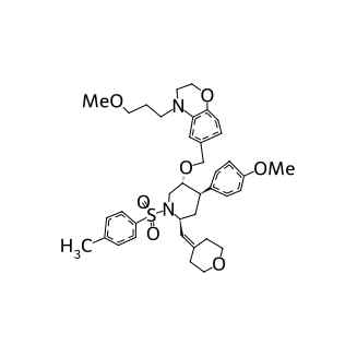 COCCCN1CCOc2ccc(CO[C@H]3CN(S(=O)(=O)c4ccc(C)cc4)[C@H](C=C4CCOCC4)C[C@@H]3c3ccc(OC)cc3)cc21